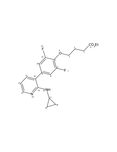 CCOC(=O)CCCOc1c(F)cc(-c2cccnc2NC2CC2)cc1F